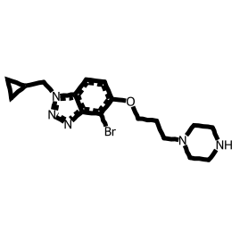 Brc1c(OCCCN2CCNCC2)ccc2c1nnn2CC1CC1